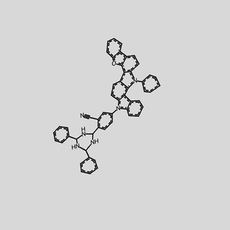 N#Cc1cc(-n2c3ccccc3c3c2ccc2c4c5oc6ccccc6c5ccc4n(-c4ccccc4)c23)ccc1C1NC(c2ccccc2)NC(c2ccccc2)N1